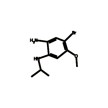 COc1cc(NC(C)C)c(N)cc1Br